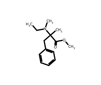 CCN(C)C(C)(Cc1ccccc1)C(=O)OC